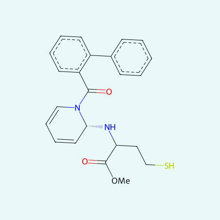 COC(=O)C(CCS)N[C@@H]1C=CC=CN1C(=O)c1ccccc1-c1ccccc1